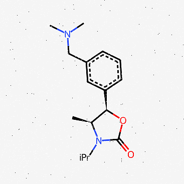 CC(C)N1C(=O)O[C@H](c2cccc(CN(C)C)c2)[C@@H]1C